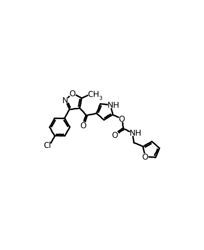 Cc1onc(-c2ccc(Cl)cc2)c1C(=O)c1c[nH]c(OC(=O)NCc2ccco2)c1